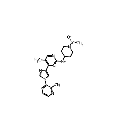 C[S+]([O-])N1CCC(Nc2ncc(C(F)(F)F)c(-c3cn(-c4cccnc4C#N)cn3)n2)CC1